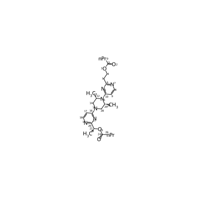 CCCC(=O)OCCc1nccc(N2[C@H](C)CN(c3ccnc([C@H](C)OC(=O)CCC)n3)C[C@@H]2C)n1